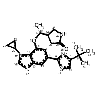 C[C@@H](Oc1cc(-c2nc(C(C)(C)C)cs2)cc2ncn(C3CC3)c12)C1CNC(=O)C1